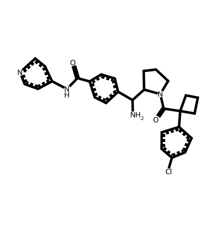 NC(c1ccc(C(=O)Nc2ccncc2)cc1)C1CCCN1C(=O)C1(c2ccc(Cl)cc2)CCC1